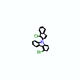 Clc1c(-n2c3ccccc3c3c(Br)cccc32)ccc2ccccc12